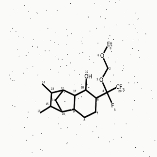 CCOCOC(F)(C1CCC2C3CC(C(C)C3C)C2C1O)C(F)(F)F